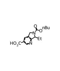 CCCCOC(=O)N1Cc2cc(C(=O)O)cnc2C1CC